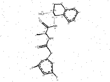 C[C@H](NC(=O)Cc1cc(F)cc(F)c1)C(=O)N[C@H]1c2ccccc2CC[C@H]1O